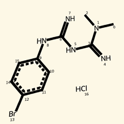 CN(C)C(=N)NC(=N)Nc1ccc(Br)cc1.Cl